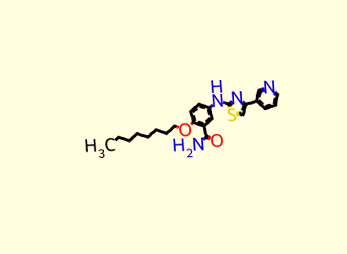 CCCCCCCCOc1ccc(Nc2nc(-c3cccnc3)cs2)cc1C(N)=O